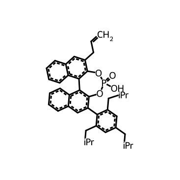 C=CCc1cc2ccccc2c2c1OP(=O)(O)Oc1c(-c3c(CC(C)C)cc(CC(C)C)cc3CC(C)C)cc3ccccc3c1-2